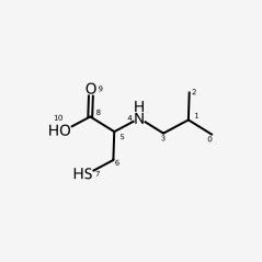 CC(C)CNC(CS)C(=O)O